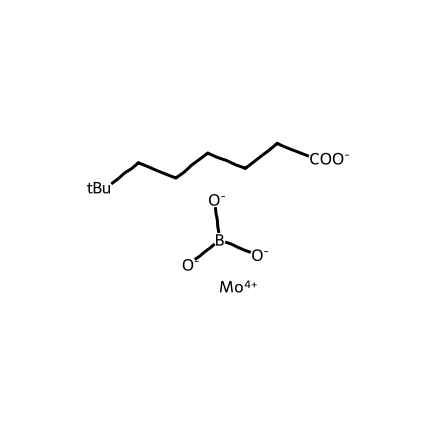 CC(C)(C)CCCCCC(=O)[O-].[Mo+4].[O-]B([O-])[O-]